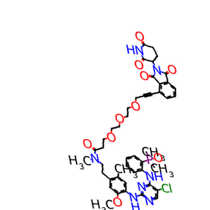 COc1cc(CCN(C)C(=O)CCOCCOCCOCC#Cc2cccc3c2C(=O)N(C2CCC(=O)NC2=O)C3=O)c(C)cc1Nc1ncc(Cl)c(Nc2ccccc2P(C)(C)=O)n1